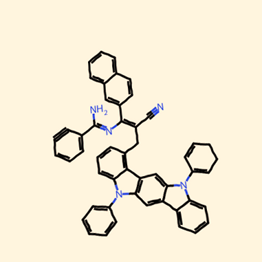 N#C/C(Cc1cccc2c1c1cc3c(cc1n2-c1ccccc1)c1ccccc1n3C1=CCCC=C1)=C(/N=C(\N)c1c#cccc1)c1ccc2ccccc2c1